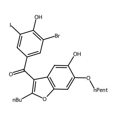 CCCCCOc1cc2oc(CCCC)c(C(=O)c3cc(Br)c(O)c(I)c3)c2cc1O